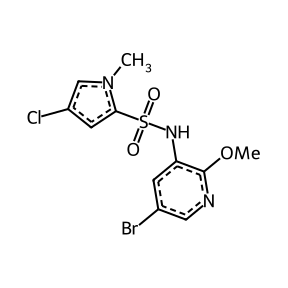 COc1ncc(Br)cc1NS(=O)(=O)c1cc(Cl)cn1C